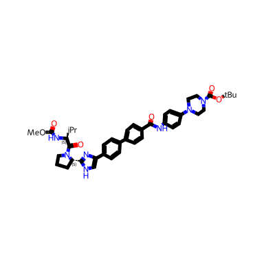 COC(=O)N[C@H](C(=O)N1CCC[C@H]1c1nc(-c2ccc(-c3ccc(C(=O)Nc4ccc(N5CCN(C(=O)OC(C)(C)C)CC5)cc4)cc3)cc2)c[nH]1)C(C)C